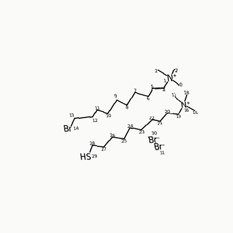 C[N+](C)(C)CCCCCCCCCCBr.C[N+](C)(C)CCCCCCCCCCS.[Br-].[Br-]